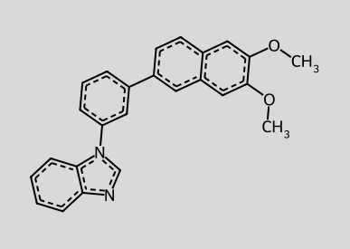 COc1cc2ccc(-c3cccc(-n4cnc5ccccc54)c3)cc2cc1OC